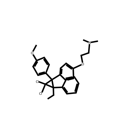 CCC1(c2ccccc2)C(Cl)(Cl)C1(c1ccc(OC)cc1)c1ccc(OCCN(C)C)cc1